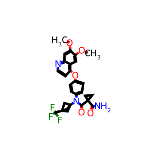 COc1cc2nccc(Oc3ccc(N(C(=O)C4(C(N)=O)CC4)C45CC(C(F)(F)F)(C4)C5)cc3)c2cc1OC